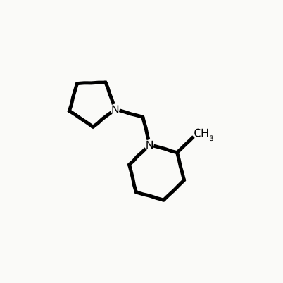 CC1CCCCN1CN1CCCC1